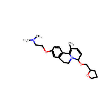 CC1=C2c3ccc(OCCN(C)C)cc3CCN2C(OCC2CCCO2)C=C1